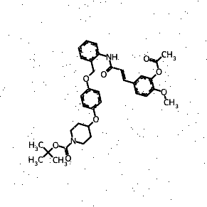 COc1ccc(/C=C/C(=O)Nc2ccccc2COc2ccc(OC3CCN(C(=O)OC(C)(C)C)CC3)cc2)cc1OC(C)=O